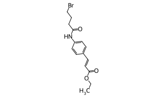 CCOC(=O)C=Cc1ccc(NC(=O)CCCBr)cc1